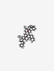 CC(C)(C)c1ccc(N(c2ccc3c(c2)-c2ccccc2C3(C)C)c2ccc3ccccc3c2-c2ccc(-c3cccc4c3sc3ccccc34)cc2)c(-c2ccccc2)c1